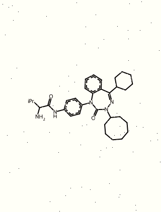 CC(C)C(N)C(=O)Nc1ccc(N2C(=O)N(C3CCCCCCC3)N=C(C3CCCCC3)c3ccccc32)cc1